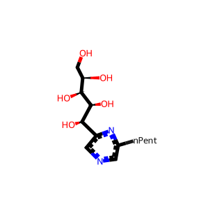 CCCCCc1cncc([C@@H](O)[C@H](O)[C@@H](O)[C@H](O)CO)n1